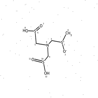 C[S+]([O-])CN(CS(=O)O)CS(=O)O